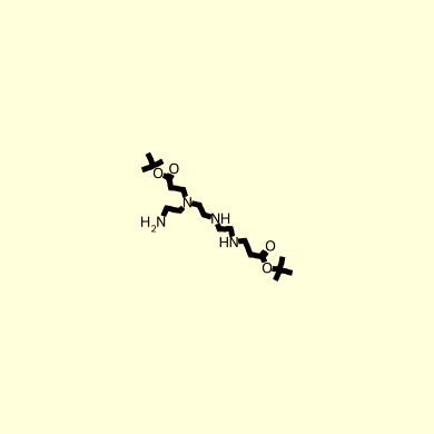 CC(C)(C)OC(=O)CCNCCNCCN(CCN)CCC(=O)OC(C)(C)C